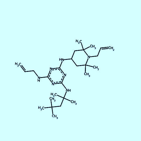 C=CCNc1nc(NC2CC(C)(C)N(CC=C)C(C)(C)C2)nc(NC(C)(C)CC(C)(C)C)n1